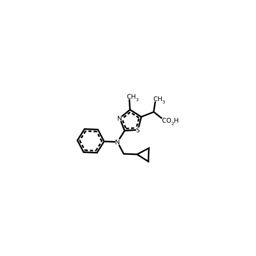 Cc1nc(N(CC2CC2)c2ccccc2)sc1C(C)C(=O)O